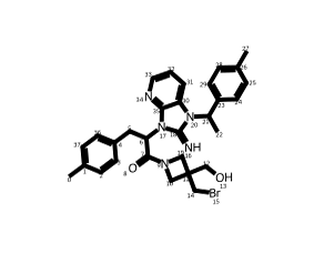 Cc1ccc(CC(C(=O)N2CC(CO)(CBr)C2)n2c(=N)n(C(C)c3ccc(C)cc3)c3cccnc32)cc1